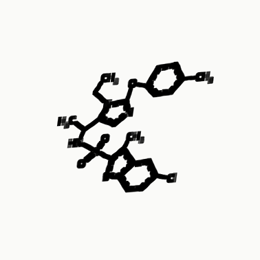 CCn1c(C(C)NS(=O)(=O)c2sc3ccc(Cl)cc3c2C)cnc1Oc1ccc(C)cc1